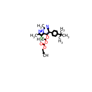 C#CCOC(=O)OC(C)O/C(=C(/C#N)c1ccc(C(C)(C)C)cc1)c1c(Cl)c(C)nn1CC